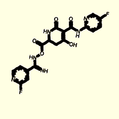 N=C(NOC(=O)C1CC(O)=C(C(=O)Nc2ccc(F)cn2)C(=O)N1)c1ccnc(F)c1